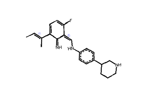 C/C=C(\C)C1=CC=C(F)/C(=C/Nc2ccc(C3CCCNC3)cc2)C1=N